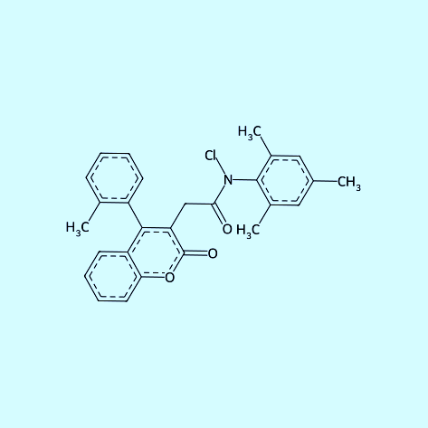 Cc1cc(C)c(N(Cl)C(=O)Cc2c(-c3ccccc3C)c3ccccc3oc2=O)c(C)c1